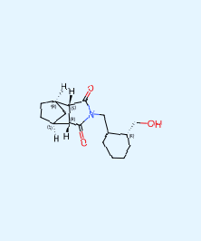 O=C1[C@@H]2[C@H]3CC[C@H](C3)[C@@H]2C(=O)N1CC1CCCC[C@H]1CO